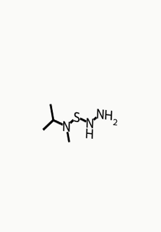 CC(C)N(C)SNN